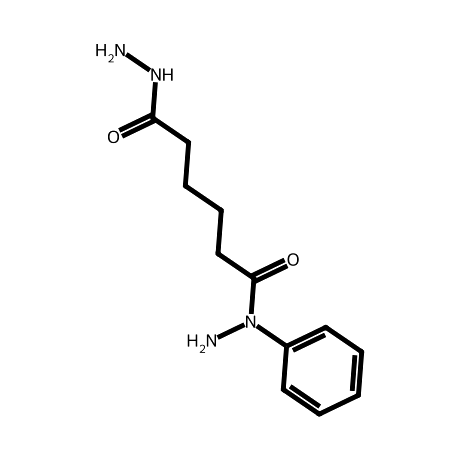 NNC(=O)CCCCC(=O)N(N)c1ccccc1